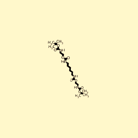 CC(C)(C)OC(=O)NCCOC(=O)NCCCCCCNC(=O)OCCNC(=O)OC(C)(C)C